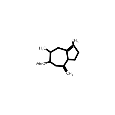 C=C1CC(OC)C(C)CC2=C(C)CCC12